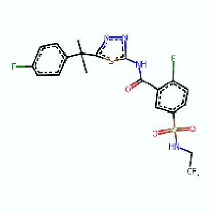 CC(C)(c1ccc(F)cc1)c1nnc(NC(=O)c2cc(S(=O)(=O)NCC(F)(F)F)ccc2F)s1